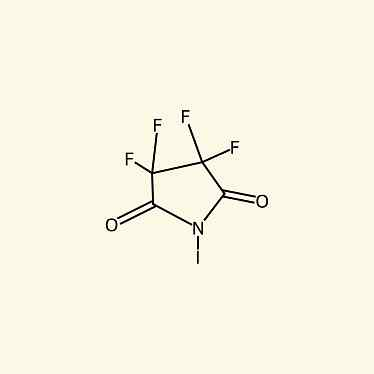 O=C1N(I)C(=O)C(F)(F)C1(F)F